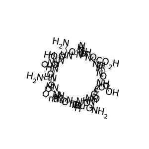 CCCC[C@H]1C(=O)N[C@@H](CC(C)C)C(=O)N[C@H](C(=O)NCC(N)=O)CSCC(=O)N[C@@H](Cc2ccc(O)cc2)C(=O)N2CCCC[C@H]2C(=O)N[C@@H](CC(=O)O)C(=O)N2CCC[C@H]2C(=O)N[C@@H](Cc2cnc[nH]2)C(=O)N[C@@H](CCCCN)C(=O)N2C[C@H](O)C[C@H]2C(=O)N[C@@H](Cc2c[nH]c3ccccc23)C(=O)N[C@@H](CCCCN)C(=O)N[C@@H](Cc2cccc3ccccc23)c2nnnn2[C@@H](CCCC)C(=O)N1C